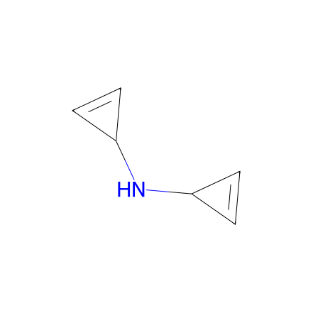 C1=CC1NC1C=C1